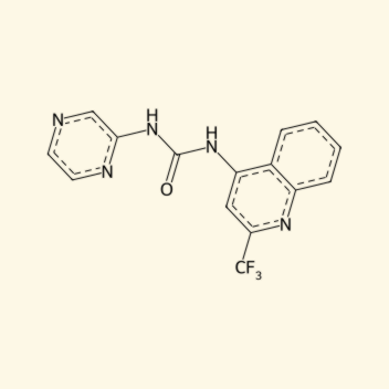 O=C(Nc1cnccn1)Nc1cc(C(F)(F)F)nc2ccccc12